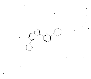 c1cc(-c2cnc3ccc(N4CCCC4)nn23)nc(N2CCNCC2)c1